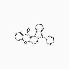 O=c1c2ccccc2oc2ccc3c(c4ccccc4n3-c3ccccc3)c12